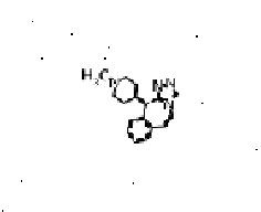 CN1CCC(=C2c3ccccc3C=Cn3cnnc32)CC1